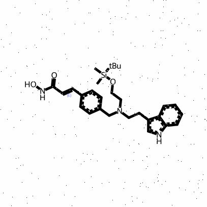 CC(C)(C)[Si](C)(C)OCCN(CCc1c[nH]c2ccccc12)Cc1ccc(/C=C/C(=O)NO)cc1